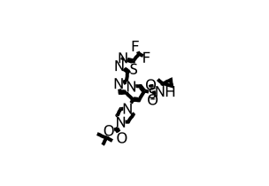 CC1(NS(=O)(=O)c2cc(N3CCN(C(=O)OC(C)(C)C)CC3)c3cnc(-c4nnc(C(F)F)s4)n3c2)CC1